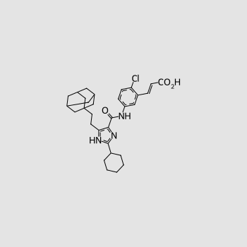 O=C(O)/C=C/c1cc(NC(=O)c2nc(C3CCCCC3)[nH]c2CCC23CC4CC(CC(C4)C2)C3)ccc1Cl